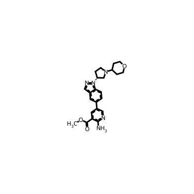 COC(=O)c1cc(-c2ccc3c(cnn3[C@@H]3CCN(C4CCOCC4)C3)c2)cnc1N